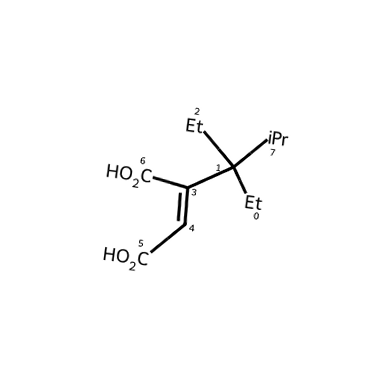 CCC(CC)(C(=CC(=O)O)C(=O)O)C(C)C